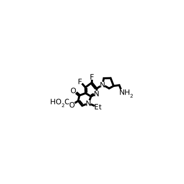 CCn1cc(OC(=O)O)c(=O)c2c(F)c(F)c(N3CCC(CN)C3)nc21